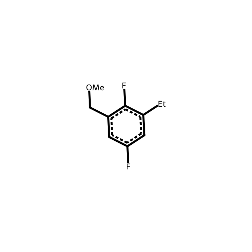 CCc1cc(F)cc(COC)c1F